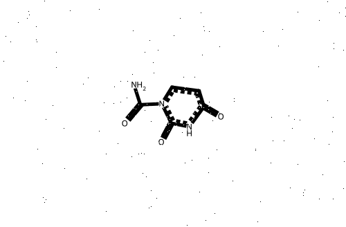 NC(=O)n1ccc(=O)[nH]c1=O